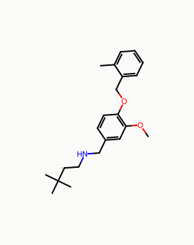 COc1cc(CNC[CH]C(C)(C)C)ccc1OCc1ccccc1C